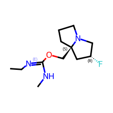 CC/N=C(\NC)OC[C@@]12CCCN1C[C@H](F)C2